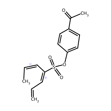 C=C/C=C(\C=C/C)S(=O)(=O)Oc1ccc(C(C)=O)cc1